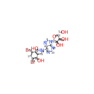 OC[C@H]1OC(n2cnc3c(NCc4c(O)c(Br)cc(Br)c4O)ncnc32)[C@H](O)[C@@H]1O